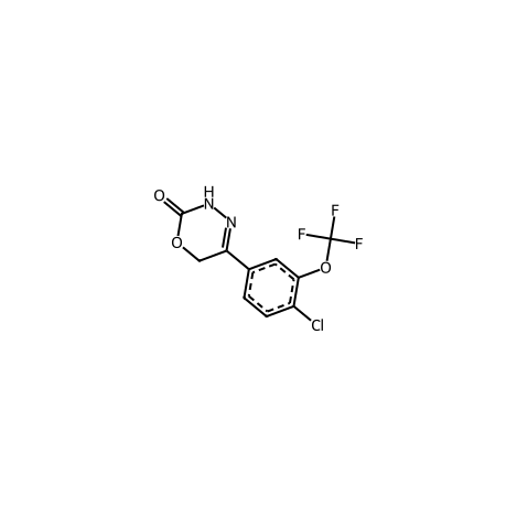 O=C1NN=C(c2ccc(Cl)c(OC(F)(F)F)c2)CO1